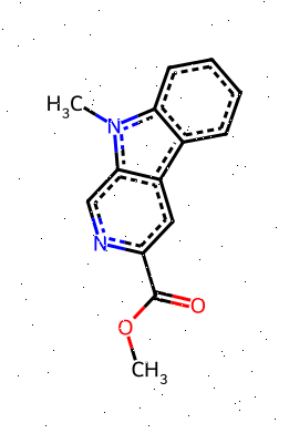 COC(=O)c1cc2c3ccccc3n(C)c2cn1